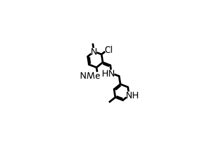 CNC1C=CN(C)C(Cl)/C1=C/NCC1=CC(C)=CNC1